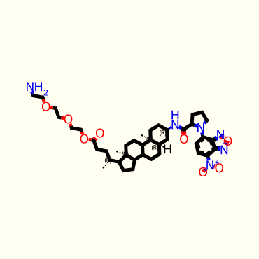 C[C@H](CCC(=O)OCCOCCOCCN)C1CCC2C3CC[C@@H]4C[C@H](NC(=O)C5CCCN5c5ccc([N+](=O)[O-])c6nonc56)CC[C@]4(C)C3CC[C@@]21C